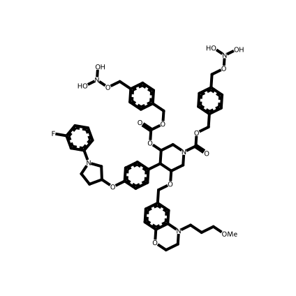 COCCCN1CCOc2ccc(COC3CN(C(=O)OCc4ccc(CON(O)O)cc4)CC(OC(=O)OCc4ccc(CON(O)O)cc4)C3c3ccc(OC4CCN(c5cccc(F)c5)C4)cc3)cc21